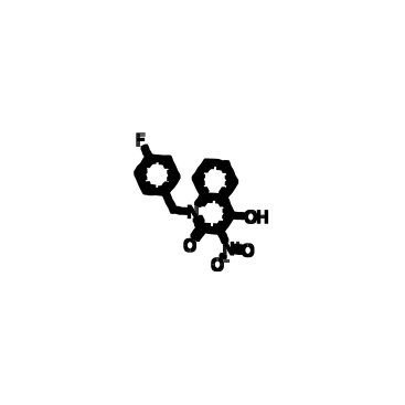 O=c1c([N+](=O)[O-])c(O)c2ccccc2n1Cc1ccc(F)cc1